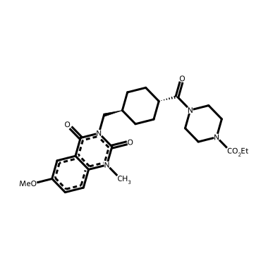 CCOC(=O)N1CCN(C(=O)[C@H]2CC[C@H](Cn3c(=O)c4cc(OC)ccc4n(C)c3=O)CC2)CC1